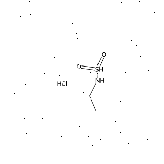 CCN[SH](=O)=O.Cl